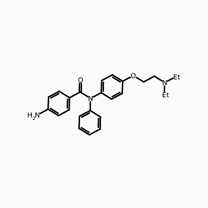 CCN(CC)CCOc1ccc(N(C(=O)c2ccc(N)cc2)c2ccccc2)cc1